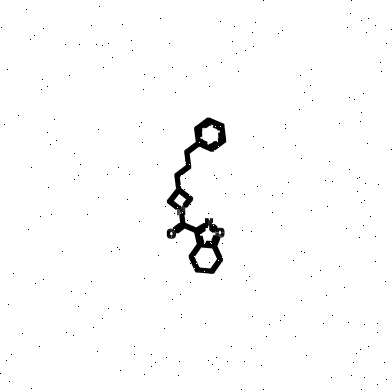 O=C(c1noc2c1CCCC2)N1CC(CCCc2ccccc2)C1